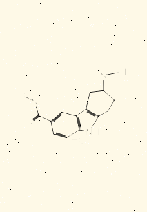 CNC1CCc2[nH]c3ccc(C(=O)NO)cc3c2C1.Cl